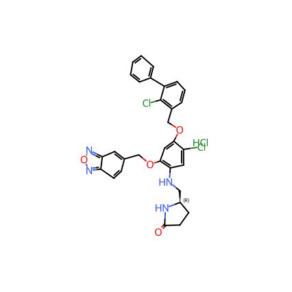 Cl.O=C1CC[C@H](CNc2cc(Cl)c(OCc3cccc(-c4ccccc4)c3Cl)cc2OCc2ccc3nonc3c2)N1